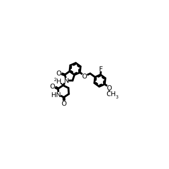 [2H][C@@]1(N2Cc3c(OCc4ccc(OC)cc4F)cccc3C2=O)CCC(=O)NC1=O